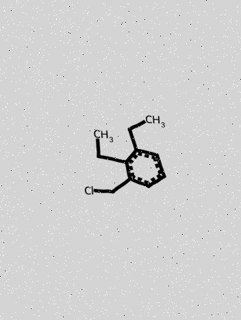 CCc1cccc(CCl)c1CC